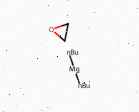 C1CO1.CCC[CH2][Mg][CH2]CCC